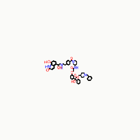 O=C(COc1cccc([C@](O)(C(=O)OCC2CCN(Cc3ccccc3)CC2)c2ccccc2)c1)N[C@H]1CCCN(C(=O)c2ccc(CCNC[C@H](O)c3ccc(O)c4[nH]c(=O)ccc34)cc2)C1